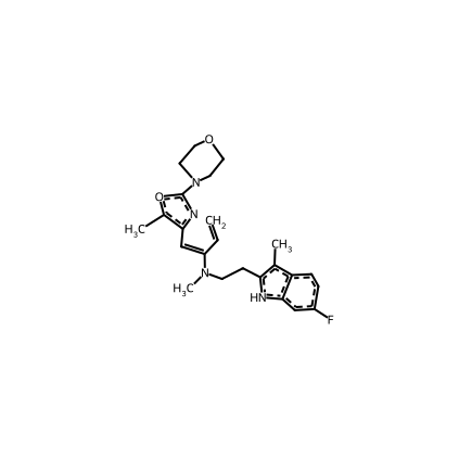 C=C/C(=C\c1nc(N2CCOCC2)oc1C)N(C)CCc1[nH]c2cc(F)ccc2c1C